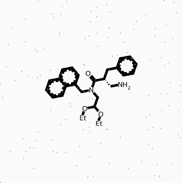 CCOC(CN(Cc1cccc2ccccc12)C(=O)[C@@H](CN)Cc1ccccc1)OCC